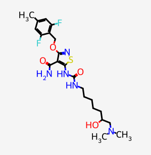 Cc1cc(F)c(COc2nsc(NC(=O)NCCCCCC(O)CN(C)C)c2C(N)=O)c(F)c1